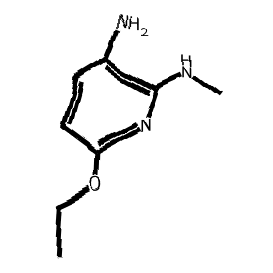 CCOc1ccc(N)c(NC)n1